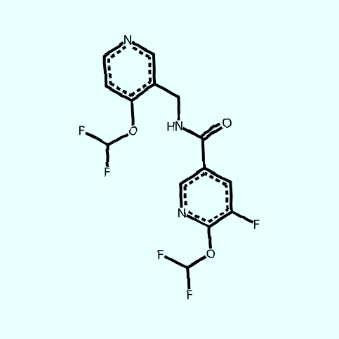 O=C(NCc1cnccc1OC(F)F)c1cnc(OC(F)F)c(F)c1